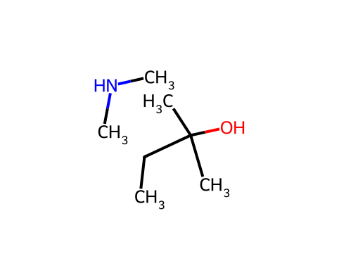 CCC(C)(C)O.CNC